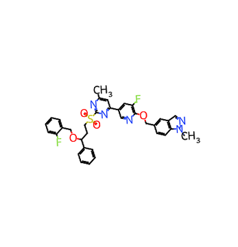 Cc1cc(-c2cnc(OCc3ccc4c(cnn4C)c3)c(F)c2)nc(S(=O)(=O)CCC(OCc2ccccc2F)c2ccccc2)n1